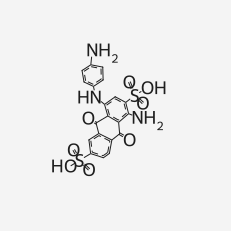 Nc1ccc(Nc2cc(S(=O)(=O)O)c(N)c3c2C(=O)c2cc(S(=O)(=O)O)ccc2C3=O)cc1